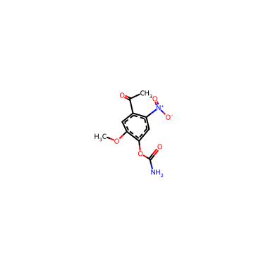 COc1cc(C(C)=O)c([N+](=O)[O-])cc1OC(N)=O